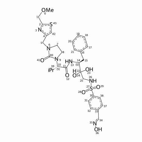 COCc1nc(CN2CCN([C@H](C(=O)N[C@@H](Cc3ccccc3)C(O)(O)CNS(=O)(=O)c3ccc(C=NO)cc3)C(C)C)C2=O)cs1